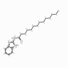 CCCCCCCCCCCCCC(=O)Nc1nc2ccccc2[nH]1